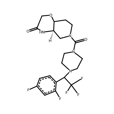 O=C1COC2CCN(C(=O)N3CCN(C(c4ccc(F)cc4F)C(F)(F)F)CC3)C[C@H]2N1